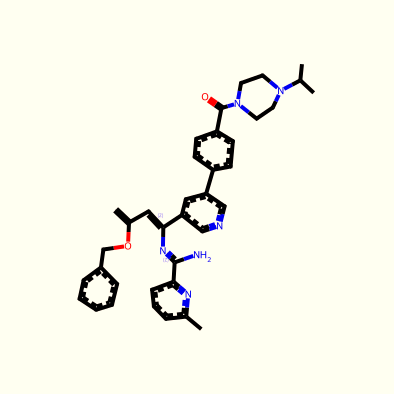 C=C(/C=C(\N=C(/N)c1cccc(C)n1)c1cncc(-c2ccc(C(=O)N3CCN(C(C)C)CC3)cc2)c1)OCc1ccccc1